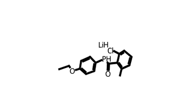 CCOc1ccc(PC(=O)c2c(C)cccc2Cl)cc1.[LiH]